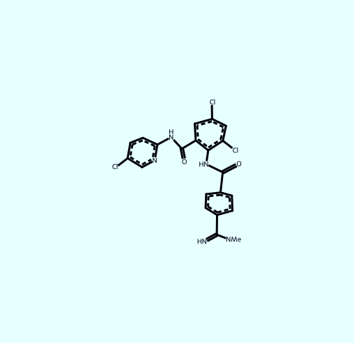 CNC(=N)c1ccc(C(=O)Nc2c(Cl)cc(Cl)cc2C(=O)Nc2ccc(Cl)cn2)cc1